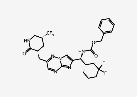 O=C(N[C@H](c1cn2nc(C[C@H]3C[C@@H](C(F)(F)F)CNC3=O)cnc2n1)[C@H]1CCCC(F)(F)C1)OCc1ccccc1